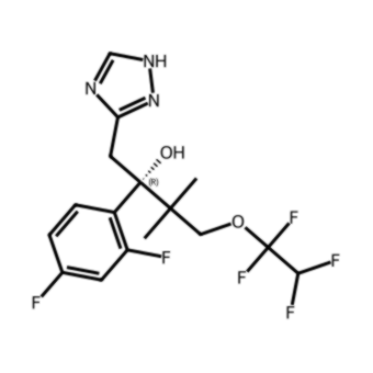 CC(C)(COC(F)(F)C(F)F)[C@](O)(Cc1nc[nH]n1)c1ccc(F)cc1F